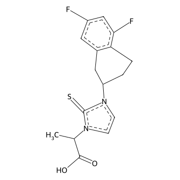 CC(C(=O)O)n1ccn(C2CCc3c(F)cc(F)cc3C2)c1=S